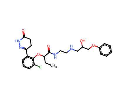 CCC(Oc1c(Cl)cccc1C1=NNC(=O)CC1)C(=O)NCCNCC(O)COc1ccccc1